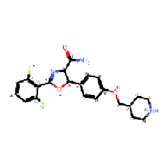 NC(=O)C1N=C(c2c(F)cccc2F)OC1c1ccc(OCC2CCNCC2)cc1